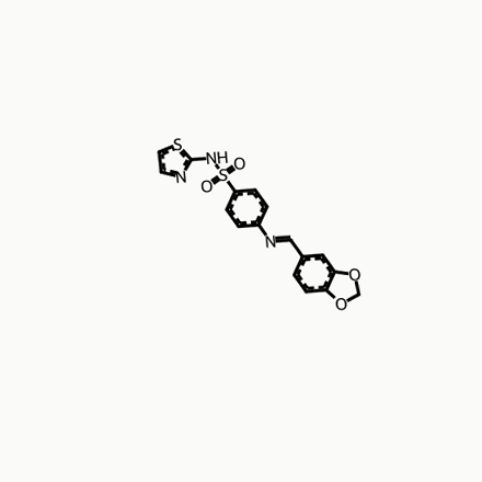 O=S(=O)(Nc1nccs1)c1ccc(/N=C/c2ccc3c(c2)OCO3)cc1